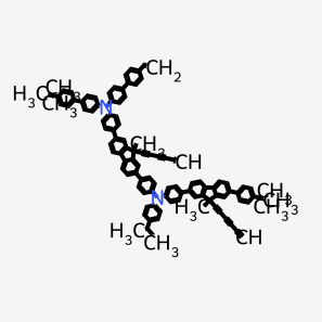 C#CC#CC#CC1(C)c2cc(-c3ccc(N(c4ccc(-c5ccc(C=C)cc5)cc4)c4ccc(-c5ccc(C(C)(C)C)cc5)cc4)cc3)ccc2-c2ccc(-c3ccc(N(c4ccc(-c5ccc6c(c5)C(C)(C#CC#CC#C)c5cc(-c7ccc(C(C)(C)C)cc7)ccc5-6)cc4)c4ccc(C(C)CC)cc4)cc3)cc21